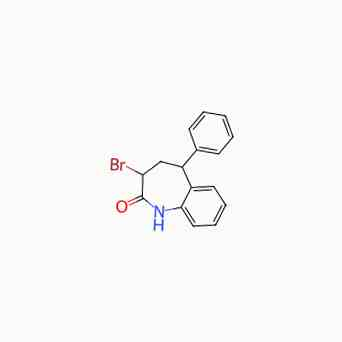 O=C1Nc2ccccc2C(c2ccccc2)CC1Br